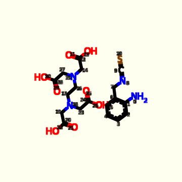 Nc1ccccc1CN=C=S.O=C(O)CN(CCN(CC(=O)O)CC(=O)O)CC(=O)O